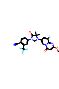 COc1cc(=O)n2cc(N3CN(c4ccc(C#N)c(C(F)(F)F)c4)C(=O)C3(C)C)cc(F)c2n1